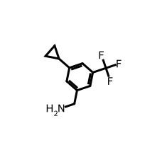 NCc1cc(C2CC2)cc(C(F)(F)F)c1